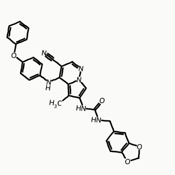 Cc1c(NC(=O)NCc2ccc3c(c2)OCO3)cn2ncc(C#N)c(Nc3ccc(Oc4ccccc4)cc3)c12